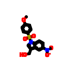 COc1ccc(S(=O)(=O)n2cc(CO)c3cc([N+](=O)[O-])ccc32)cc1